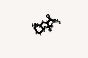 NC(=O)C(CC1CCCCN1)C(F)(F)F